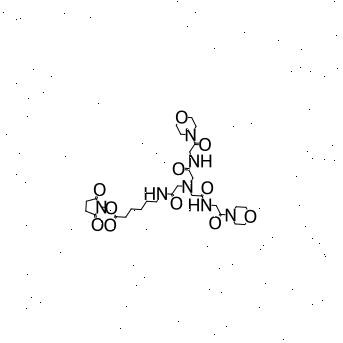 O=C(CN(CC(=O)NCC(=O)N1CCOCC1)CC(=O)NCC(=O)N1CCOCC1)NCCCCCC(=O)ON1C(=O)CCC1=O